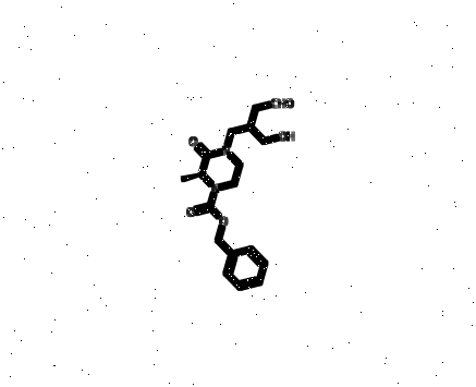 C[C@H]1C(=O)N(CC(CO)CC=O)CCN1C(=O)OCc1ccccc1